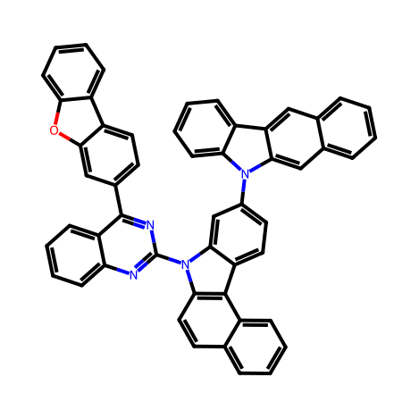 c1ccc2cc3c(cc2c1)c1ccccc1n3-c1ccc2c3c4ccccc4ccc3n(-c3nc(-c4ccc5c(c4)oc4ccccc45)c4ccccc4n3)c2c1